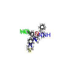 Cc1cc(C(=O)N2CCNC[C@H]2Cc2ccccc2)c(-c2ccccc2)n1-c1cccc(N2CCSCC2)c1.Cl.Cl